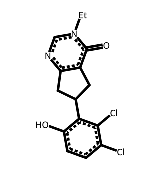 CCn1cnc2c(c1=O)CC(c1c(O)ccc(Cl)c1Cl)C2